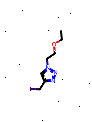 CCOCCn1cc(CI)nn1